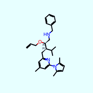 C=CCO[C@@H](CNCc1ccccc1)[C@H](Cc1cc(C)cc(-n2c(C)ccc2C)n1)C(C)C